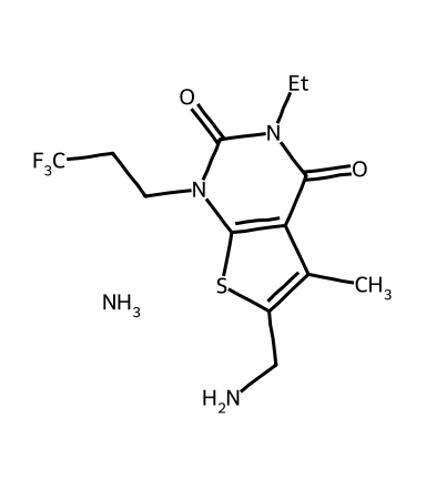 CCn1c(=O)c2c(C)c(CN)sc2n(CCC(F)(F)F)c1=O.N